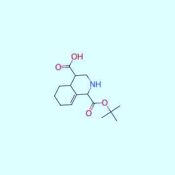 CC(C)(C)OC(=O)C1NCC(C(=O)O)C2CCCC=C12